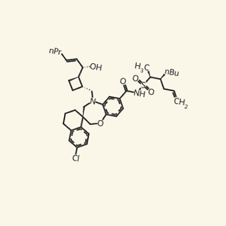 C=CC[C@H](CCCC)[C@H](C)S(=O)(=O)NC(=O)c1ccc2c(c1)N(C[C@@H]1CC[C@H]1[C@@H](O)/C=C/CCC)C[C@@]1(CCCc3cc(Cl)ccc31)CO2